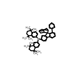 CC1(C)CCC(C)(C)c2cc(N(c3ccc4c(c3)C(C)(C)CCC4(C)C)c3ccc4c(c3)C3(c5c(-c6ccccc6)cccc5-4)C4CC5CC(C4)C3C5)ccc21